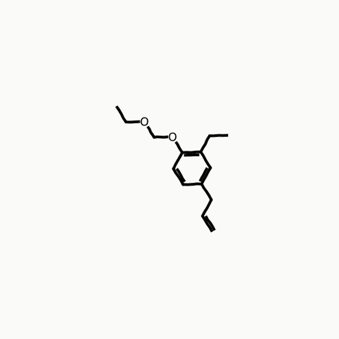 C=CCc1ccc(OCOCC)c(CC)c1